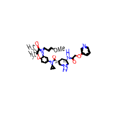 COCCCN1C(=O)C(C)(C)Oc2ccc(N(C(=O)[C@H]3CNC[C@@H](NC(=O)COc4cccnc4)C3)C3CC3)cc21